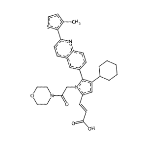 Cc1ccsc1-c1ccc2cc(-c3c(C4CCCCC4)cc(C=CC(=O)O)n3CC(=O)N3CCOCC3)ccc2n1